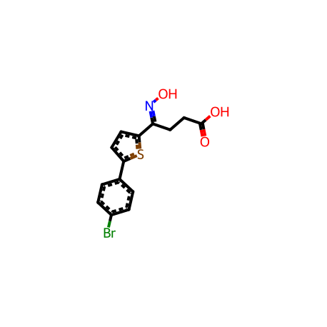 O=C(O)CCC(=NO)c1ccc(-c2ccc(Br)cc2)s1